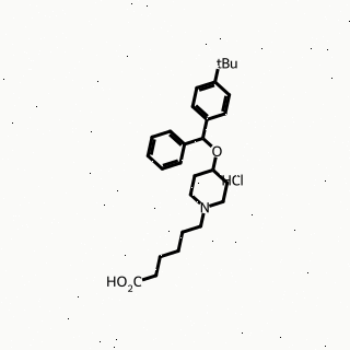 CC(C)(C)c1ccc(C(OC2CCN(CCCCCC(=O)O)CC2)c2ccccc2)cc1.Cl